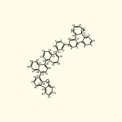 c1cc(-c2ccc3c4ccccc4c4nccnc4c3c2)cc(-c2cccc3c(-c4ccc(-c5cccc6c5oc5ccccc56)c5ccccc45)cccc23)c1